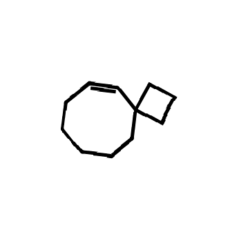 C1=CC2(CCCCC1)CCC2